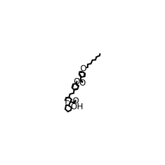 CCCCCCCCOc1ccc(C(=O)Oc2ccc(CCC(CC)C[C@@](F)(C(=O)O)C3CCCCC3)cc2)cc1